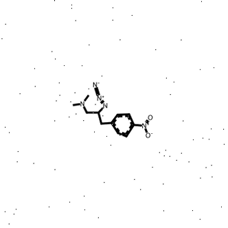 CN(C)CC(Cc1ccc([N+](=O)[O-])cc1)N=[N+]=[N-]